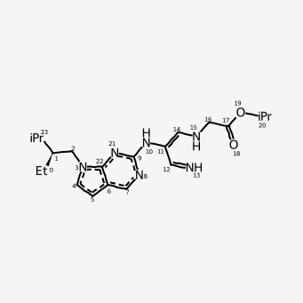 CC[C@H](Cn1ccc2cnc(N/C(C=N)=C/NCC(=O)OC(C)C)nc21)C(C)C